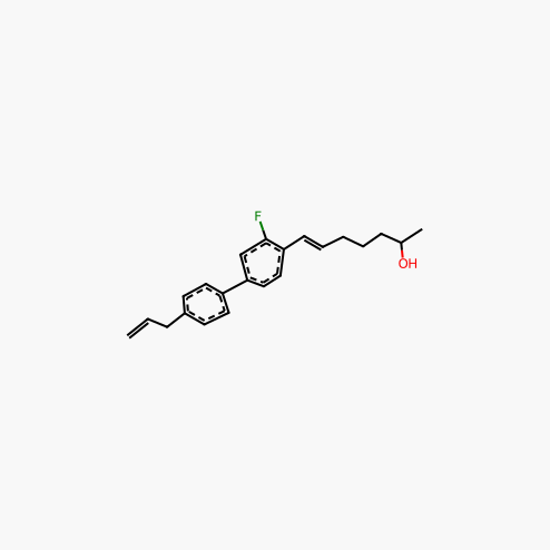 C=CCc1ccc(-c2ccc(C=CCCCC(C)O)c(F)c2)cc1